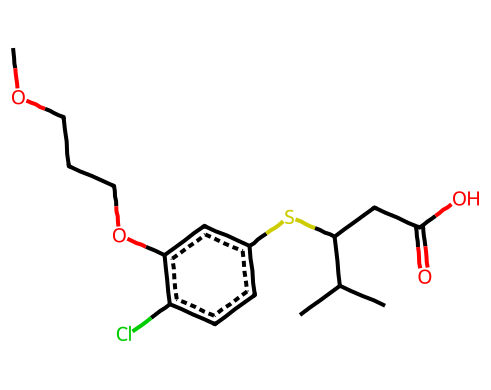 COCCCOc1cc(SC(CC(=O)O)C(C)C)ccc1Cl